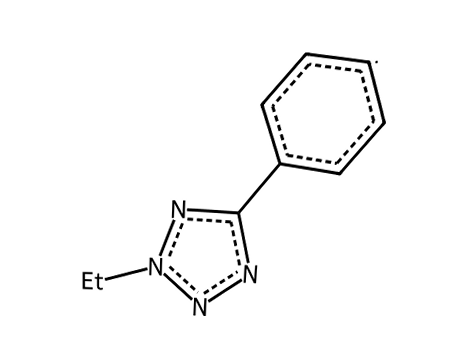 CCn1nnc(-c2cc[c]cc2)n1